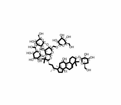 CC[C@@]12CCC([C@H](C)CC[C@@H](O[C@@H]3O[C@H](CO[C@H]4O[C@H](CO)[C@@H](O)[C@H](O)[C@H]4O)[C@@H](O[C@H]4O[C@H](CO)[C@@H](O)[C@H](O)[C@H]4O)[C@H](O)[C@H]3O[C@@H]3O[C@H](CO)[C@@H](O)[C@H](O)[C@H]3O)C(C)(C)O)[C@@]1(C)C[C@@H](O)[C@@]1(C)C3CC[C@H](O[C@@H]4O[C@H](CO)C[C@H](O)[C@H]4O)C(C)(C)C3=CCC12